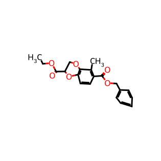 CCOC(=O)C1COc2c(ccc(C(=O)OCc3ccccc3)c2C)O1